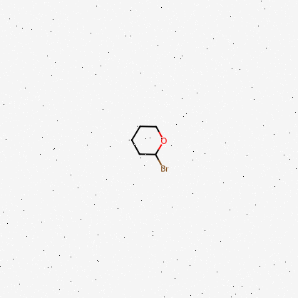 BrC1C[CH][CH]CO1